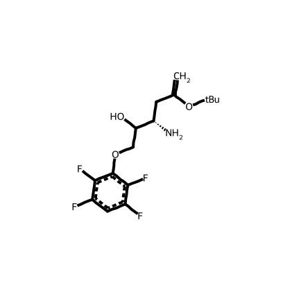 C=C(C[C@H](N)C(O)COc1c(F)c(F)cc(F)c1F)OC(C)(C)C